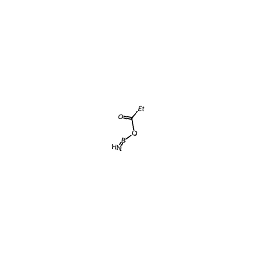 CCC(=O)OB=N